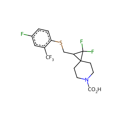 O=C(O)N1CCC2(CC1)C(CSc1ccc(F)cc1C(F)(F)F)C2(F)F